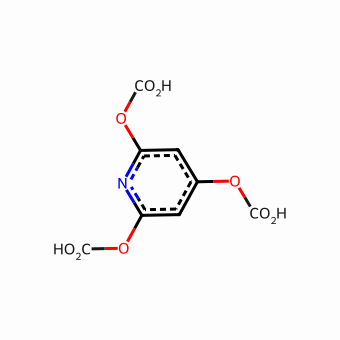 O=C(O)Oc1cc(OC(=O)O)nc(OC(=O)O)c1